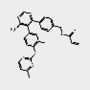 C=CC(=O)NCc1ccc(-c2ncnc(N)c2-c2ccc(Oc3nccc(C)n3)c(F)c2)cc1